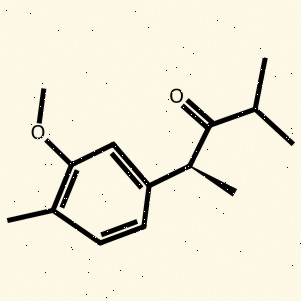 COc1cc([C@H](C)C(=O)C(C)C)ccc1C